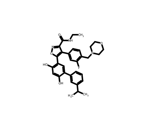 CCNC(=O)c1noc(-c2cc(-c3cccc(C(C)C)c3)c(O)cc2O)c1-c1ccc(CN2CCOCC2)c(F)c1